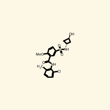 COc1ccc(S(=O)(=O)N[C@H]2C[C@H](O)C2)cc1C(=O)Nc1c(C)cccc1Cl